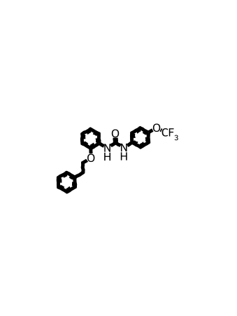 O=C(Nc1ccc(OC(F)(F)F)cc1)Nc1ccccc1OCCc1ccccc1